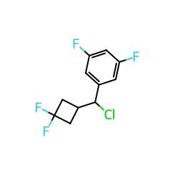 Fc1cc(F)cc(C(Cl)C2CC(F)(F)C2)c1